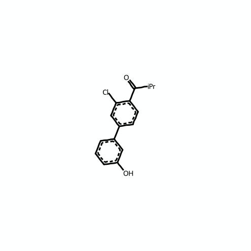 CC(C)C(=O)c1ccc(-c2cccc(O)c2)cc1Cl